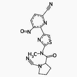 CN(C(=O)C1CCCN1C#N)c1nc(-c2nc(C#N)ccc2N=O)cs1